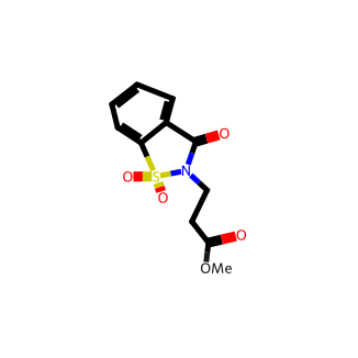 COC(=O)CCN1C(=O)c2ccccc2S1(=O)=O